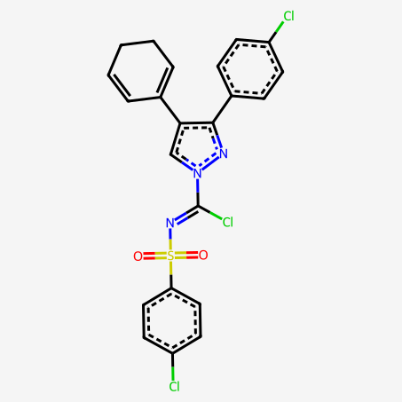 O=S(=O)(N=C(Cl)n1cc(C2=CCCC=C2)c(-c2ccc(Cl)cc2)n1)c1ccc(Cl)cc1